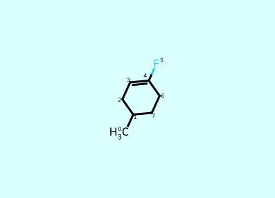 CC1CC=C(F)CC1